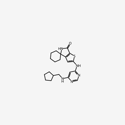 O=C1NC2(CCCCC2)c2cc(Nc3cc(NCC4CCCC4)ncn3)sc21